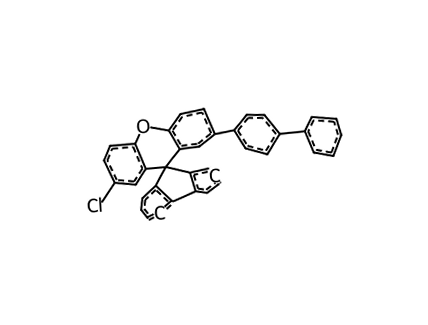 Clc1ccc2c(c1)C1(c3cc(-c4ccc(-c5ccccc5)cc4)ccc3O2)c2ccccc2-c2ccccc21